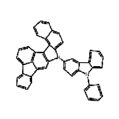 c1ccc(-n2c3ccccc3c3cc(-n4c5ccc6ccccc6c5c5c6cccc7c6c(cc54)-c4ccccc4-7)ccc32)cc1